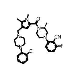 Cc1c(CN2CCN(c3ccccc3Cl)CC2)cc(C(=O)N2CCN(c3cccc(F)c3C#N)C[C@@H]2C)n1C